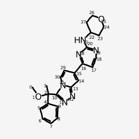 COC(C)(c1ccccc1)c1nnc2cc(-c3ccnc(NC4CCOCC4)n3)ccn12